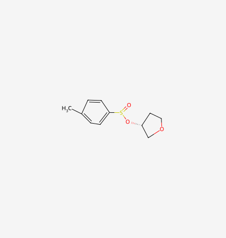 Cc1ccc(S(=O)O[C@@H]2CCOC2)cc1